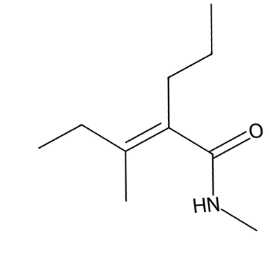 CCCC(C(=O)NC)=C(C)CC